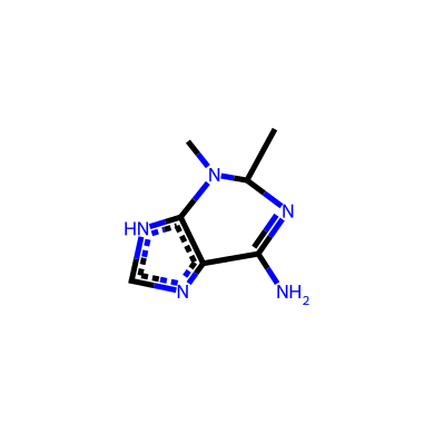 CC1N=C(N)c2nc[nH]c2N1C